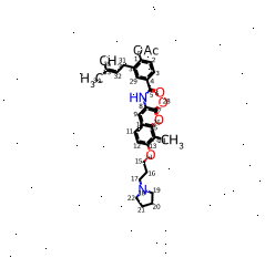 CC(=O)Oc1ccc(C(=O)Nc2cc3ccc(OCCCN4CCCC4)c(C)c3oc2=O)cc1CC=C(C)C